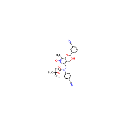 Cc1c(OCc2cccc(C#N)c2)c(CO)c(CN(C(=O)OC(C)(C)C)c2ccc(C#N)cc2)c[n+]1[O-]